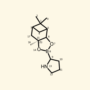 CC1(C)C2CC1C1OB(C3CCCN3)O[C@@]1(C)C2